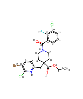 CCOC(=O)C1(Cc2ccc(Br)c(Cl)n2)CCN(C(=O)c2cccc(Cl)c2F)CC1